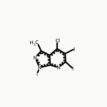 Cc1nn(I)c2nc(I)c(I)c(Cl)c12